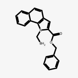 BCn1c(C(=O)OCc2ccccc2)cc2ccc3ccccc3c21